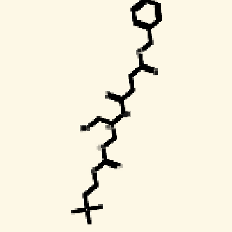 CS(C)(C)CCOC(=O)NC[C@@H](CO)NC(=O)CCC(=O)OCc1ccccc1